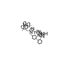 CCCc1nc(C(C)(C)O)c(Cc2oc(=O)oc2C)n1Cc1ccc(-c2ccccc2-c2nn[nH]n2)cc1